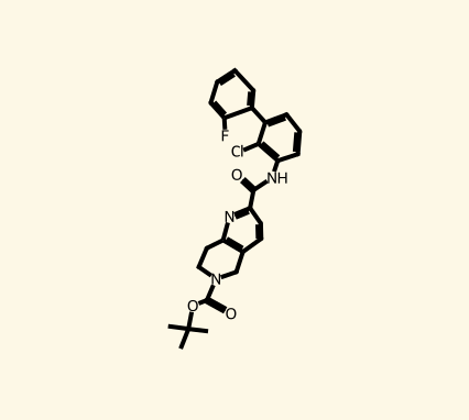 CC(C)(C)OC(=O)N1CCc2nc(C(=O)Nc3cccc(-c4ccccc4F)c3Cl)ccc2C1